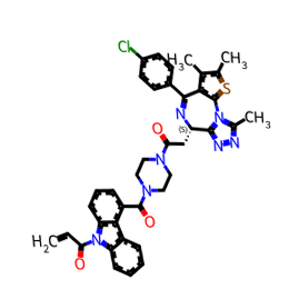 C=CC(=O)n1c2ccccc2c2c(C(=O)N3CCN(C(=O)C[C@@H]4N=C(c5ccc(Cl)cc5)c5c(sc(C)c5C)-n5c(C)nnc54)CC3)cccc21